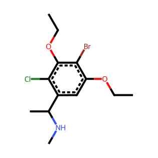 CCOc1cc(C(C)NC)c(Cl)c(OCC)c1Br